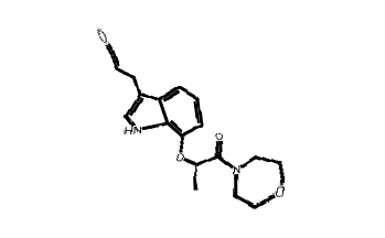 C[C@@H](Oc1cccc2c(CC=O)c[nH]c12)C(=O)N1CCOCC1